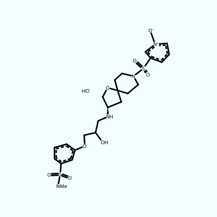 CNS(=O)(=O)c1cccc(OCC(O)CN[C@H]2COC3(CCN(S(=O)(=O)c4ccc[n+]([O-])c4)CC3)C2)c1.Cl